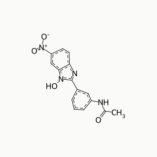 CC(=O)Nc1cccc(-c2nc3ccc([N+](=O)[O-])cc3n2O)c1